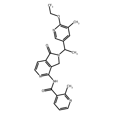 Cc1cc(C(C)N2Cc3c(ccnc3NC(=O)c3cccnc3C)C2=O)cnc1OCC(F)(F)F